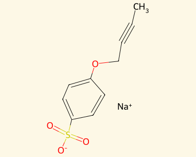 CC#CCOc1ccc(S(=O)(=O)[O-])cc1.[Na+]